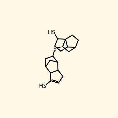 SC1=CCC2C3CC(CC3S[C@@H]3CC4CCC35C(S)CCC45)C12